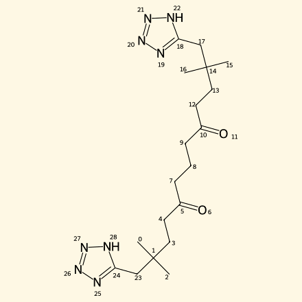 CC(C)(CCC(=O)CCCC(=O)CCC(C)(C)Cc1nnn[nH]1)Cc1nnn[nH]1